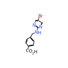 O=C(O)c1ccc(CNc2ncc(Br)cn2)cc1